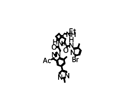 CCNC[C@]12CC[C@H]1N(C(=O)Cn1nc(C(C)=O)c3cc(-c4cnc(C)nc4)cc(C)c31)[C@H](C(=O)Nc1nc(Br)ccc1C)C2